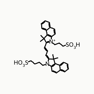 CC1(C)C(=CC=CC2=[N+](CCCS(=O)(=O)O)c3ccc4ccccc4c3C2(C)C)N(CCCCS(=O)(=O)O)c2ccc3ccccc3c21